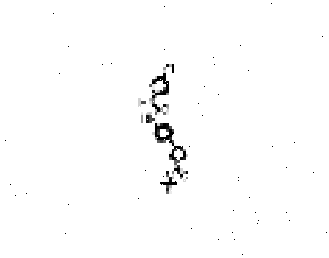 CC(C)(C)OC(=O)N1CCC(c2ccc(NC(=O)Nc3ccc(Cl)cn3)cc2)C1